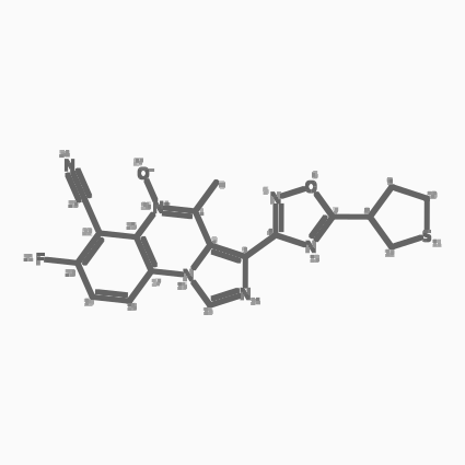 Cc1c2c(-c3noc(C4CCSC4)n3)ncn2c2ccc(F)c(C#N)c2[n+]1[O-]